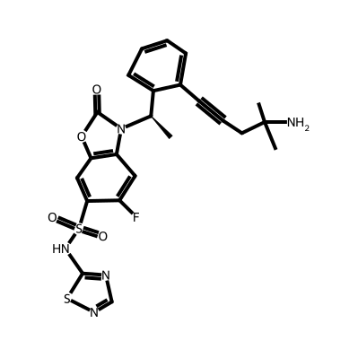 C[C@H](c1ccccc1C#CCC(C)(C)N)n1c(=O)oc2cc(S(=O)(=O)Nc3ncns3)c(F)cc21